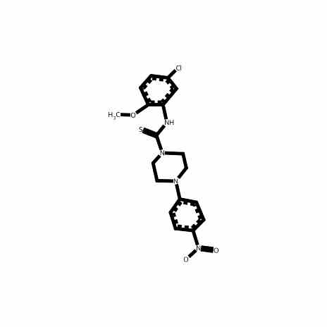 COc1ccc(Cl)cc1NC(=S)N1CCN(c2ccc([N+](=O)[O-])cc2)CC1